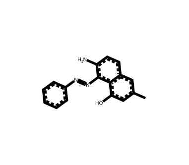 Cc1cc(O)c2c(/N=N/c3ccccc3)c(N)ccc2c1